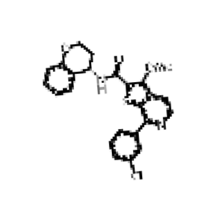 COc1c(C(=O)N[C@H]2CCOc3ccccc32)sc2c(-c3cccc(Cl)c3)nccc12